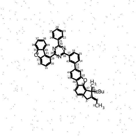 C/C=C1\Cc2ccc3c(oc4cc(-c5cccc(-c6nc(-c7ccccc7)nc(-c7cccc8oc9ccccc9c78)n6)c5)ccc43)c2C1(C)C(C)(C)C